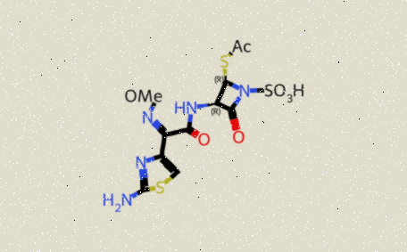 CON=C(C(=O)N[C@@H]1C(=O)N(S(=O)(=O)O)[C@@H]1SC(C)=O)c1csc(N)n1